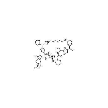 CN[C@@H](C)C(=O)N[C@H](C(=O)N1CCC[C@H]1c1nc(C(=O)c2cccc(OCCCCCCN3CC([C@@H](c4ccccc4)n4cc(NC(=O)c5n[nH]c6c5C[C@@H]5C(F)(F)[C@]5(C)C6)cn4)C3)c2)cs1)C1CCCCC1